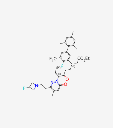 CCOC(=O)C[C@H](CCC(=O)[C@H](CC(C)C)n1nc(CCN2CC(F)C2)c(C)cc1=O)c1cc(-c2c(C)cc(C)cc2C)cc(C(F)(F)F)c1F